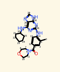 Cc1cc(C(=O)N2CCOCC2)ccc1Nc1nc(NC2CCCCC2)c2nc[nH]c2n1